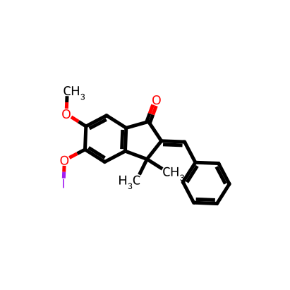 COc1cc2c(cc1OI)C(C)(C)/C(=C\c1ccccc1)C2=O